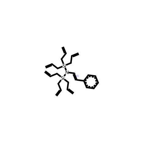 C=CC[Si](CC=C)(CC=C)N(/[C]=C/c1ccccc1)[Si](CC=C)(CC=C)CC=C